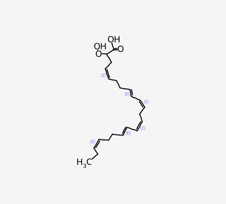 CC/C=C\CC/C=C/C=C\C/C=C\C=C\CC/C=C\CC(OO)C(=O)O